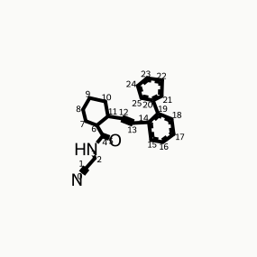 N#CCNC(=O)C1CCCCC1C#Cc1ccccc1-c1ccccc1